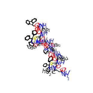 CC[C@H](C)[C@H](NC(=O)[C@@H]1CCCN1C(=O)[C@@H]1CCCN1C(=O)[C@@H](NC(=O)[C@H](COC(C)(C)C)NC(=O)[C@H](C)NC(=O)[C@@H](NC(=O)[C@H](CSC(c1ccccc1)(c1ccccc1)c1ccccc1)NC(=O)[C@H](CC(C)C)NC(=O)OCC1c2ccccc2-c2ccccc21)[C@@H](C)OC(C)(C)C)[C@@H](C)CC)C(=O)N[C@@H](CSC(c1ccccc1)(c1ccccc1)c1ccccc1)C(=O)N[C@@H](CCC(N)=O)C(=O)O